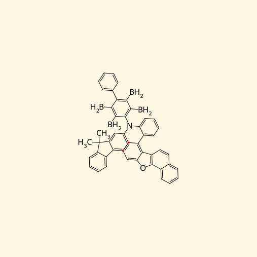 Bc1c(B)c(N(c2ccc3c(c2)C(C)(C)c2ccccc2-3)c2ccccc2-c2cccc3oc4c5ccccc5ccc4c23)c(B)c(B)c1-c1ccccc1